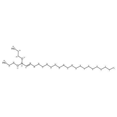 CCCCCCCCCCCCCCCCCCCCC=CN(OCCO)OCCO